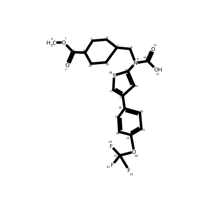 COC(=O)C1CCC(CN(C(=O)O)c2cc(-c3ccc(OC(F)(F)F)cc3)cs2)CC1